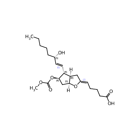 CCCCC[C@H](O)/C=C/[C@@H]1[C@H]2C/C(=C/CCCC(=O)O)O[C@H]2C[C@H]1OC(=O)OC